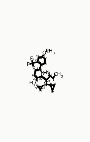 CCc1nn2c(-c3ccc(OC)cc3C(F)(F)F)ccc(C)c2c1N(C1CC1)C1CC1